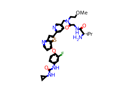 COCCN(Cc1ccc(-c2cc3nccc(Oc4ccc(NC(=O)NC5CC5)cc4F)c3s2)nc1)C(=O)CNC(=O)[C@@H](N)C(C)C